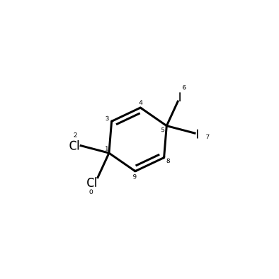 ClC1(Cl)C=CC(I)(I)C=C1